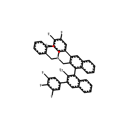 CCc1c(-c2cc(F)c(F)c(F)c2)cc2ccccc2c1-c1c(CN2CCc3ccccc3C2)c(-c2cc(F)c(F)c(F)c2)cc2ccccc12